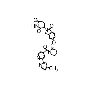 Cc1ccnc(-c2cc(C(=O)N3CCCC[C@H]3COc3ccc4c(c3)CN(C3CCC(=O)NC3=O)C4=O)ccn2)c1